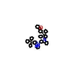 C1=CN2c3cc([Si](c4ccccc4)(c4ccccc4)c4ccccc4)ccc3N(c3ccc4c(c3)c3ccccc3n4-c3cccc([Si](c4ccccc4)(c4ccccc4)c4ccc5c(c4)oc4ccccc45)c3)N2C=C1